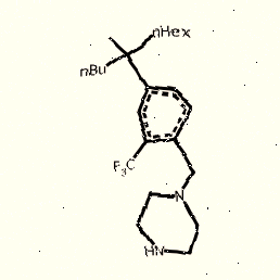 CCCCCCC(C)(CCCC)c1ccc(CN2CCNCC2)c(C(F)(F)F)c1